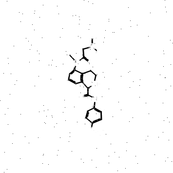 CCOC(=O)c1ccc(NC(=O)C2NCCc3c2cccc3N(C)C(=O)CN(C)C)cc1